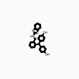 O=C(Nc1nc2ccccc2s1)c1ccccc1C(c1ccc(O)cc1)c1ccc(O)cc1